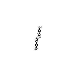 c1csc(-c2ccc(-c3cc4sc5cc6c(cc5c4s3)sc3cc(-c4ccc(-c5nccs5)cc4)sc36)cc2)n1